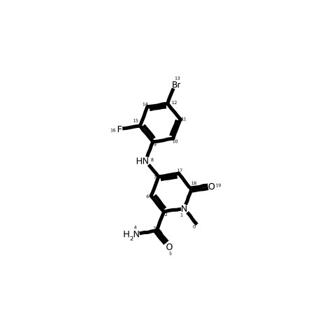 Cn1c(C(N)=O)[c]c(Nc2ccc(Br)cc2F)cc1=O